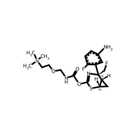 C[Si](C)(C)CCOCNC(=O)OC1=N[C@](CF)(c2cc(N)ccc2F)[C@@H]2C[C@@H]2S1